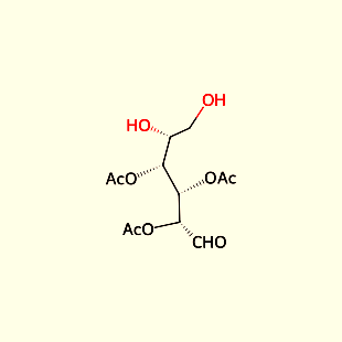 CC(=O)O[C@@H]([C@H](OC(C)=O)[C@H](C=O)OC(C)=O)[C@H](O)CO